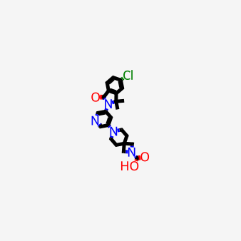 CC1(C)c2cc(Cl)ccc2C(=O)N1c1cncc(N2CCC3(CC2)CN(C(=O)O)C3)c1